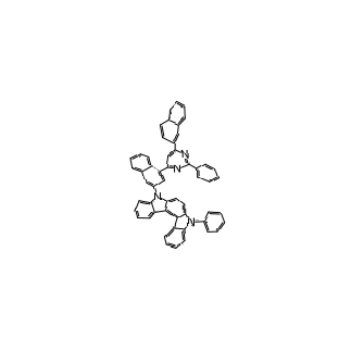 c1ccc(-c2nc(-c3ccc4ccccc4c3)cc(-c3cc(-n4c5ccccc5c5c6c7ccccc7n(-c7ccccc7)c6ccc54)cc4ccccc34)n2)cc1